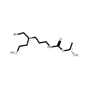 CC(=O)O[C@@H](C)OC(=O)NCCC[C@@H](CCC(=O)O)CC(C)C